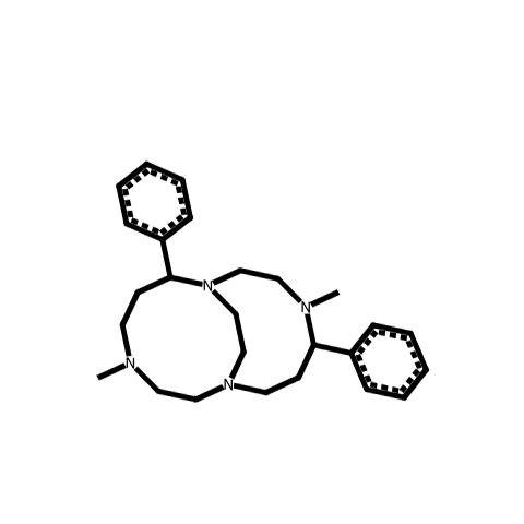 CN1CCC(c2ccccc2)N2CCN(CCC(c3ccccc3)N(C)CC2)CC1